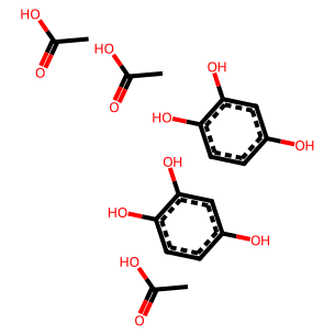 CC(=O)O.CC(=O)O.CC(=O)O.Oc1ccc(O)c(O)c1.Oc1ccc(O)c(O)c1